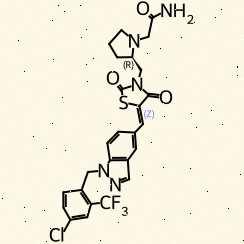 NC(=O)CN1CCC[C@@H]1CN1C(=O)S/C(=C\c2ccc3c(cnn3Cc3ccc(Cl)cc3C(F)(F)F)c2)C1=O